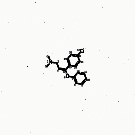 CN(C)CC=C(Oc1ccccc1)c1ccc(Cl)cc1